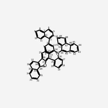 c1cc(-c2cccc3ccccc23)cc(N(c2ccccc2-c2cccc3c2oc2c4ccccc4ccc32)c2cc3ccccc3c3ccccc23)c1